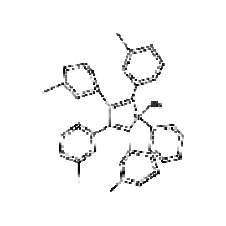 Cc1cccc(C2=C(c3cccc(C)c3)[Si](c3ccccc3)(C(C)(C)C)C(c3cccc(C)c3)=C2c2cccc(C)c2)c1